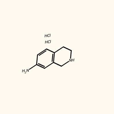 Cl.Cl.Nc1ccc2c(c1)CNCC2